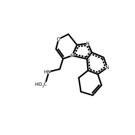 O=C(O)NCC1=COCc2nc3cnc4c(c3n21)CCC=C4